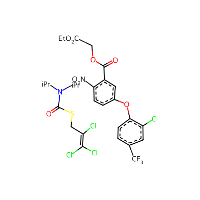 CC(C)N(C(=O)SCC(Cl)=C(Cl)Cl)C(C)C.CCOC(=O)COC(=O)c1cc(Oc2ccc(C(F)(F)F)cc2Cl)ccc1[N+](=O)[O-]